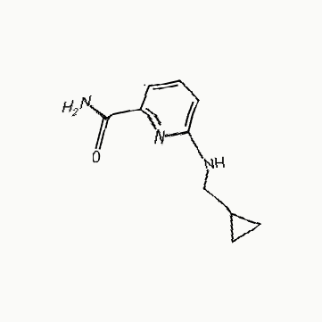 NC(=O)c1[c]ccc(NCC2CC2)n1